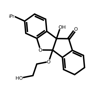 CC(C)c1ccc2c(c1)OC1(OCCO)C3=CCCC=C3C(=O)C21O